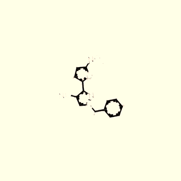 N#Cc1cn(Cc2ccccc2)nc1-c1ccc([N+](=O)[O-])o1